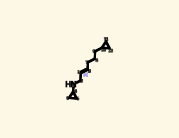 C(=C\CNC1CC1)/CCCC1CC1